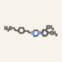 CCCC1CCC(CCN2CCN(c3ccc(C)c(C)c3)CC2)CC1